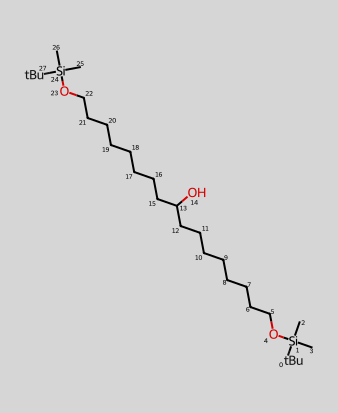 CC(C)(C)[Si](C)(C)OCCCCCCCCC(O)CCCCCCCCO[Si](C)(C)C(C)(C)C